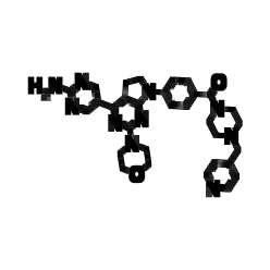 Nc1ncc(-c2nc(N3CCOCC3)nc3c2CCN3c2ccc(C(=O)N3CCN(Cc4ccncc4)CC3)cc2)cn1